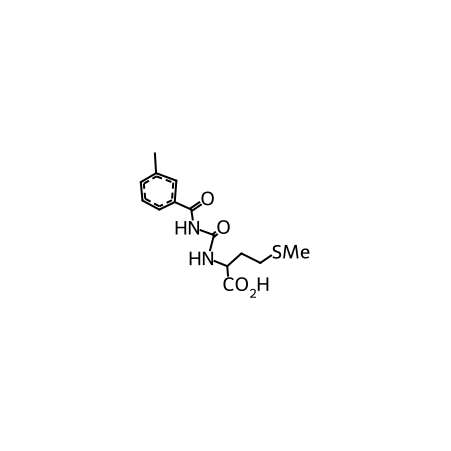 CSCCC(NC(=O)NC(=O)c1cccc(C)c1)C(=O)O